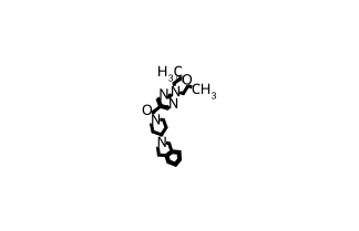 CC1CN(c2ncc(C(=O)N3CCC(N4CCc5ccccc5C4)CC3)cn2)C[C@H](C)O1